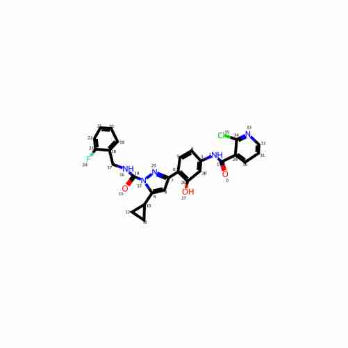 O=C(Nc1ccc(-c2cc(C3CC3)n(C(=O)NCc3ccccc3F)n2)c(O)c1)c1cccnc1Cl